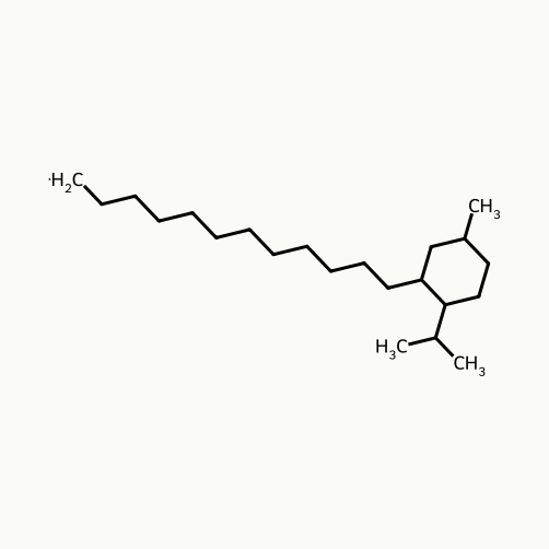 [CH2]CCCCCCCCCCCC1CC(C)CCC1C(C)C